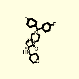 CC(C)C[C@H](NC1CCOCC1)C(=O)N1CCN(C(c2ccc(F)cc2)c2ccc(F)cc2)CC1